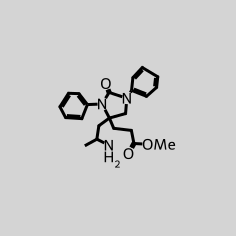 COC(=O)CCC1(CC(C)N)CN(c2ccccc2)C(=O)N1c1ccccc1